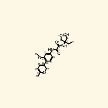 CCC(CO)(CO)NC(=O)C(=O)Nc1ccc(C2=CC=C(C)OC2)c(OC)c1